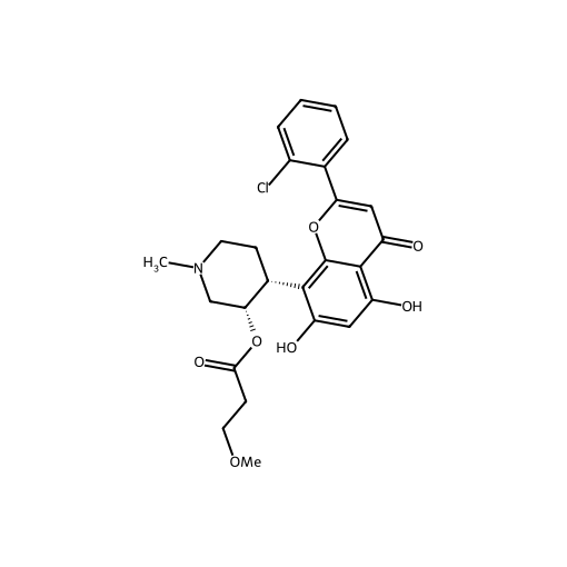 COCCC(=O)O[C@@H]1CN(C)CC[C@@H]1c1c(O)cc(O)c2c(=O)cc(-c3ccccc3Cl)oc12